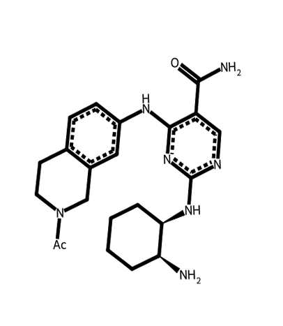 CC(=O)N1CCc2ccc(Nc3nc(N[C@@H]4CCCC[C@@H]4N)ncc3C(N)=O)cc2C1